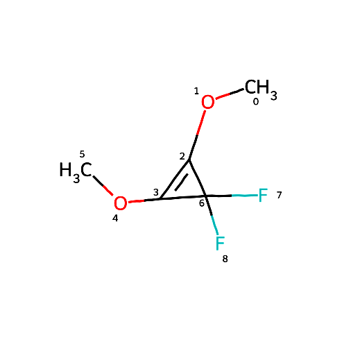 COC1=C(OC)C1(F)F